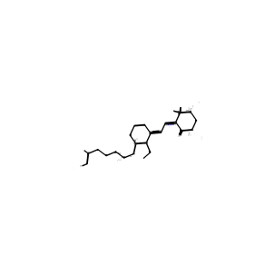 C=C1/C(=C\C=C2CCC[C@@]3(C)C2CC[C@@H]3[C@H](C)CCCC(C)CO)C(F)(F)[C@@H](O)C[C@H]1O